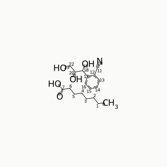 CCCCCCCC(=O)O.N#Cc1ccccc1C(O)C(O)CO